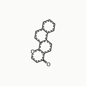 O=c1ccoc2c1ccc1c3ccccc3ccc12